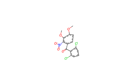 COc1ccc(C(=O)c2c(Cl)cccc2Cl)c([N+](=O)[O-])c1OC